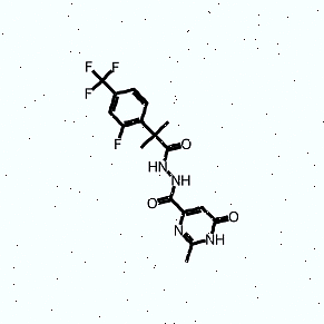 Cc1nc(C(=O)NNC(=O)C(C)(C)c2ccc(C(F)(F)F)cc2F)cc(=O)[nH]1